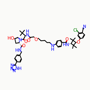 CC(C)(C)[C@H](NC(=O)COCCCCCNc1ccc(C(=O)N[C@H]2C(C)(C)[C@H](Oc3ccc(C#N)c(Cl)c3)C2(C)C)cc1)C(=O)N1C[C@H](O)C[C@H]1C(=O)NCc1ccc(-c2nnn[nH]2)cc1